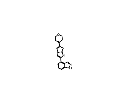 c1cc(-c2cn3nc(N4CCOCC4)sc3n2)c2cn[nH]c2c1